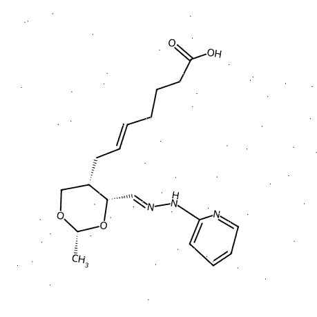 C[C@@H]1OC[C@H](CC=CCCCC(=O)O)[C@H](C=NNc2ccccn2)O1